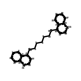 c1ccc2c(SCCCCCSc3ccnc4ccccc34)ccnc2c1